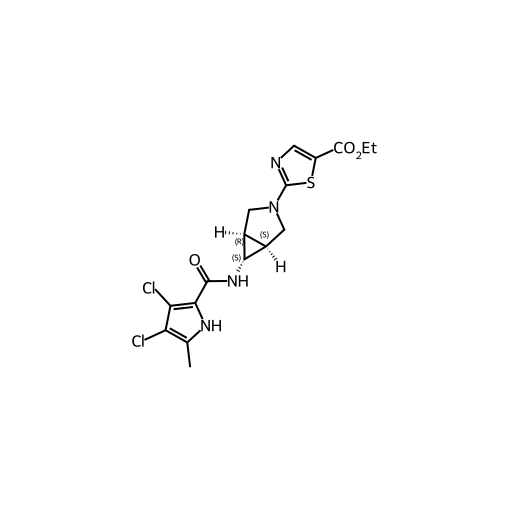 CCOC(=O)c1cnc(N2C[C@@H]3[C@H](C2)[C@H]3NC(=O)c2[nH]c(C)c(Cl)c2Cl)s1